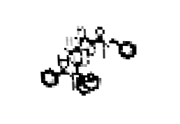 CC(C)[C@H](NC(=O)[C@H](C)NC(=O)[C@@H](NC(=O)c1ccccc1)C12CC3CC(CC(C3)C1)C2)C(=O)C(=O)NCc1ccccc1